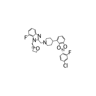 Fc1cc(Cl)ccc1[C@H]1Oc2cccc(C3CCN(Cc4nc5cccc(F)c5n4C[C@@H]4CCO4)CC3)c2O1